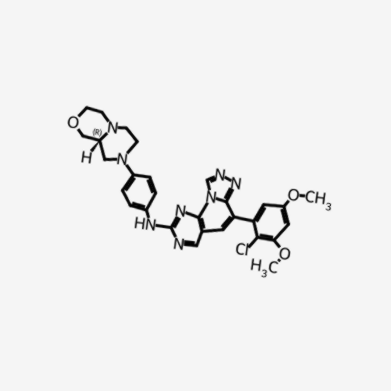 COc1cc(OC)c(Cl)c(-c2cc3cnc(Nc4ccc(N5CCN6CCOC[C@H]6C5)cc4)nc3n3cnnc23)c1